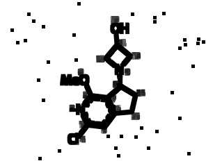 COc1nc(Cl)cc2c1[C@@H](N1CC(O)C1)CC2